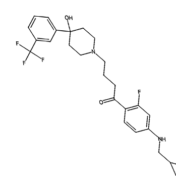 O=C(CCCN1CCC(O)(c2cccc(C(F)(F)F)c2)CC1)c1ccc(NCC2CC2)cc1F